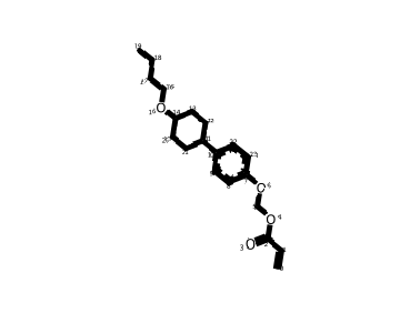 C=CC(=O)OCOc1ccc(C2CCC(OCCCC)CC2)cc1